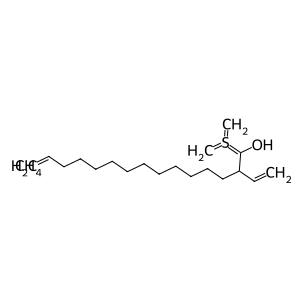 C.C=CCCCCCCCCCCCC(C=C)C(O)=S(=C)=C